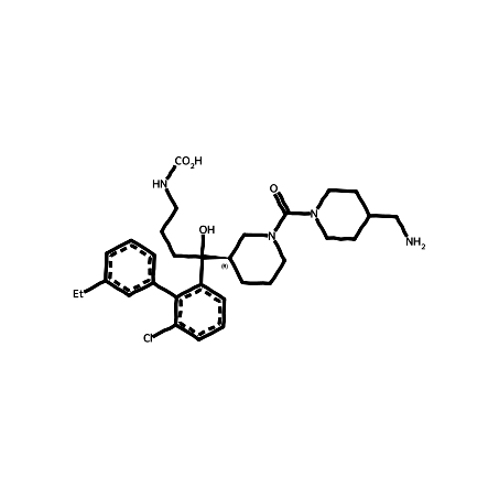 CCc1cccc(-c2c(Cl)cccc2C(O)(CCCNC(=O)O)[C@@H]2CCCN(C(=O)N3CCC(CN)CC3)C2)c1